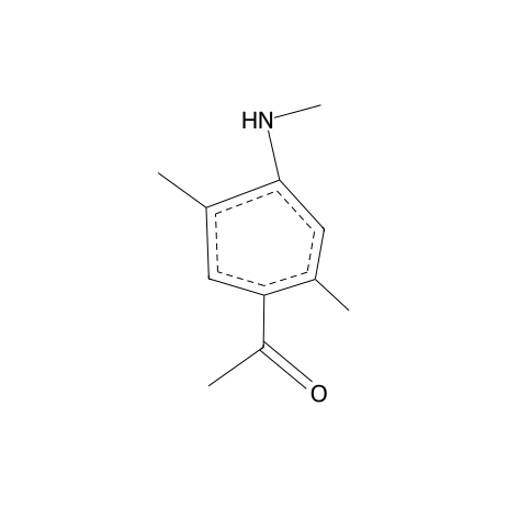 CNc1cc(C)c(C(C)=O)cc1C